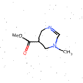 COC(=O)C1CN=CN(C)C1